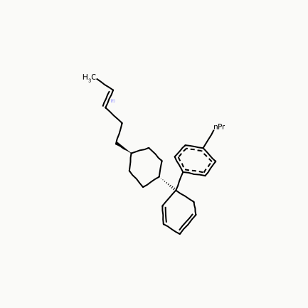 C/C=C/CC[C@H]1CC[C@H](C2(c3ccc(CCC)cc3)C=CC=CC2)CC1